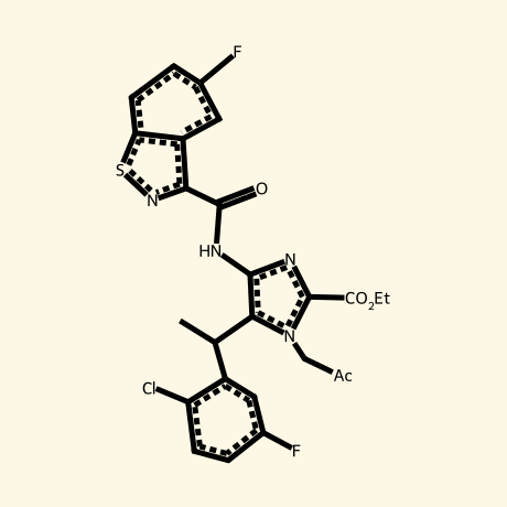 CCOC(=O)c1nc(NC(=O)c2nsc3ccc(F)cc23)c(C(C)c2cc(F)ccc2Cl)n1CC(C)=O